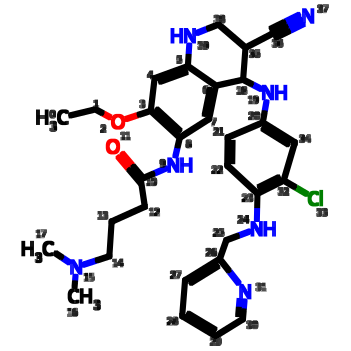 CCOc1cc2c(cc1NC(=O)CCCN(C)C)C(Nc1ccc(NCc3ccccn3)c(Cl)c1)C(C#N)CN2